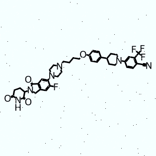 N#Cc1ccc(N2CCC(c3ccc(OCCCCN4CCN(c5cc6c(cc5F)CN(C5CCC(=O)NC5=O)C6=O)CC4)cc3)CC2)cc1C(F)(F)F